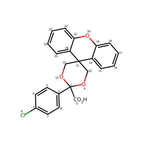 O=C(O)C1(c2ccc(Cl)cc2)OCC2(CO1)c1ccccc1Oc1ccccc12